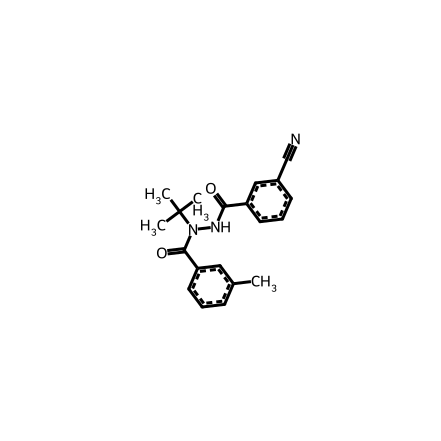 Cc1cccc(C(=O)N(NC(=O)c2cccc(C#N)c2)C(C)(C)C)c1